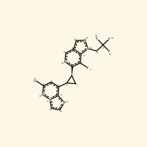 Fc1c([C@H]2CC2c2cc(Cl)nn3ccnc23)ncc2cnn(CC(F)(F)F)c12